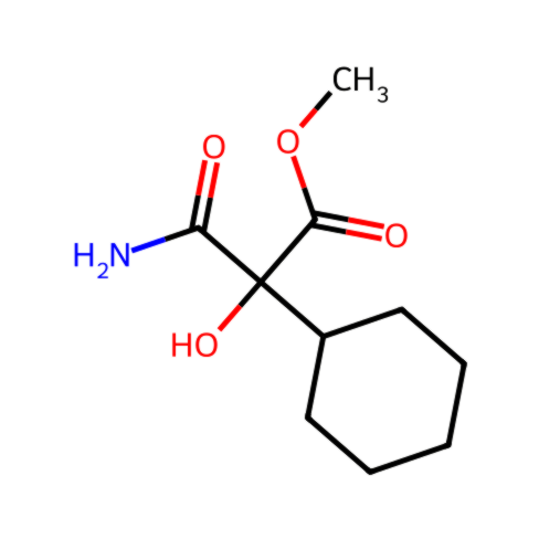 COC(=O)C(O)(C(N)=O)C1CCCCC1